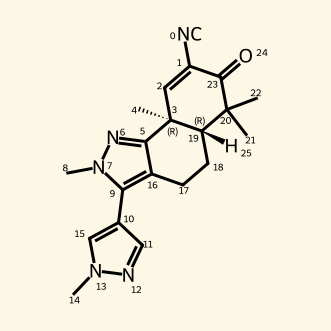 [C-]#[N+]C1=C[C@]2(C)c3nn(C)c(-c4cnn(C)c4)c3CC[C@H]2C(C)(C)C1=O